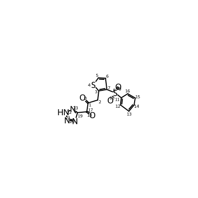 O=C(Cc1sccc1S(=O)(=O)c1ccccc1)C(=O)c1nn[nH]n1